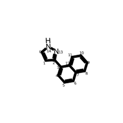 [c]1cc(-c2cccc3ccccc23)n[nH]1